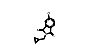 O=C1c2ccc(Cl)cc2C(=O)N1CC1CC1